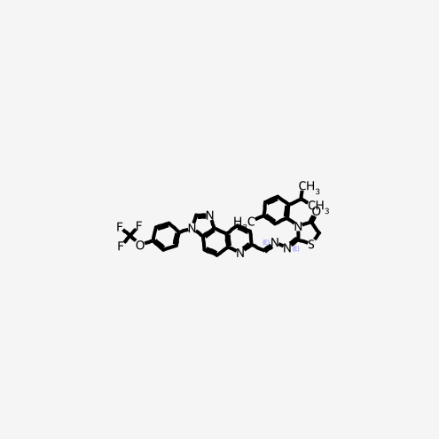 Cc1ccc(C(C)C)c(N2C(=O)CS/C2=N/N=C/c2ccc3c(ccc4c3ncn4-c3ccc(OC(F)(F)F)cc3)n2)c1